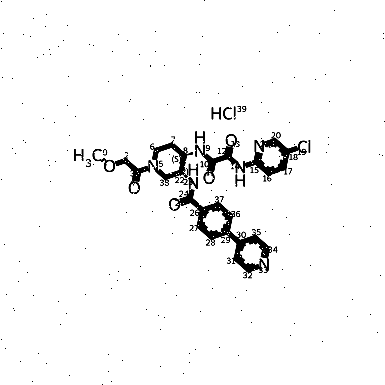 COCC(=O)N1CC[C@H](NC(=O)C(=O)Nc2ccc(Cl)cn2)[C@H](NC(=O)c2ccc(-c3ccncc3)cc2)C1.Cl